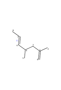 C=C(C)CC(C)/C=C/C